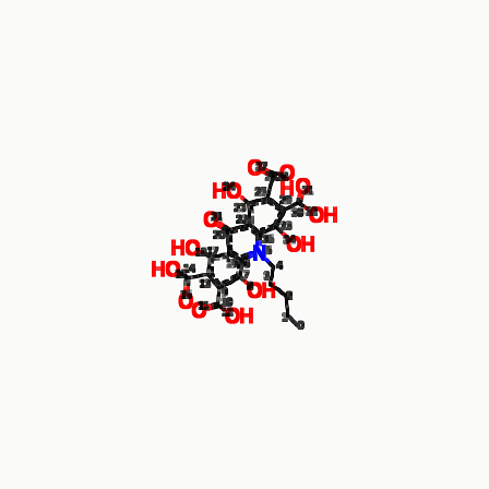 CCCCCn1c2c(O)c(C(=O)O)c(C(=O)O)c(O)c2c(=O)c2c(O)c(C(=O)O)c(C(=O)O)c(O)c21